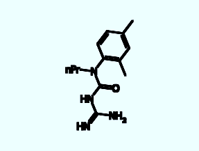 CCCN(C(=O)NC(=N)N)c1ccc(C)cc1C